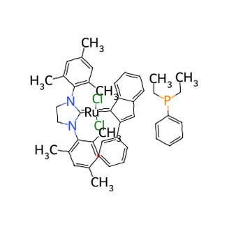 CCP(CC)c1ccccc1.Cc1cc(C)c(N2CCN(c3c(C)cc(C)cc3C)[C]2=[Ru]([Cl])([Cl])=[C]2C(c3ccccc3)=Cc3ccccc32)c(C)c1